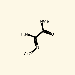 CNC(=O)/C(N)=N/OC(C)=O